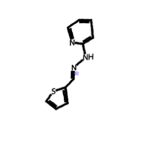 C(=N\Nc1ccccn1)/c1cccs1